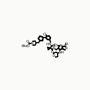 CCc1nc2c(cnn2CC)c(NC2CCOCC2)c1CNC(=O)C1(C(=O)NCc2ccc(Cl)c(-c3cccc(CC4CCN(C(=O)OC(C)(C)C)CC4)c3)c2)CC1